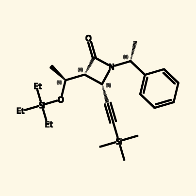 CC[Si](CC)(CC)O[C@@H](C)[C@@H]1C(=O)N([C@H](C)c2ccccc2)[C@@H]1C#C[Si](C)(C)C